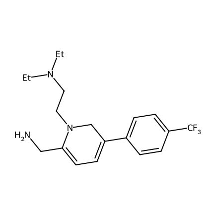 CCN(CC)CCN1CC(c2ccc(C(F)(F)F)cc2)=CC=C1CN